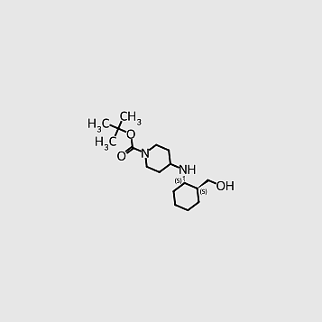 CC(C)(C)OC(=O)N1CCC(N[C@H]2CCCC[C@@H]2CO)CC1